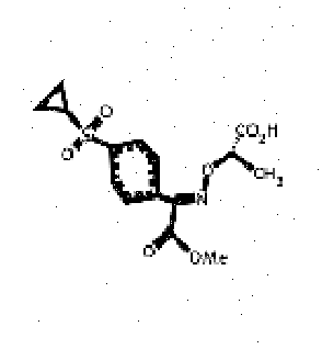 COC(=O)/C(=N/O[C@@H](C)C(=O)O)c1ccc(S(=O)(=O)C2CC2)cc1